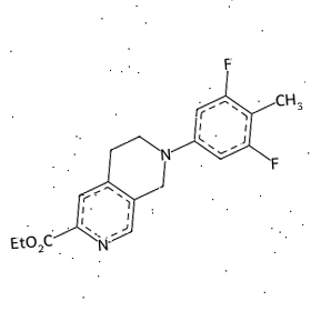 CCOC(=O)c1cc2c(cn1)CN(c1cc(F)c(C)c(F)c1)CC2